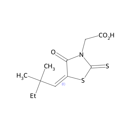 CCC(C)(C)/C=C1/SC(=S)N(CC(=O)O)C1=O